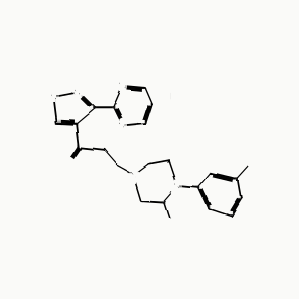 CC1CN(CCC(=O)c2c[nH]nc2-c2ncccn2)CCN1c1cccc(Cl)c1.Cl